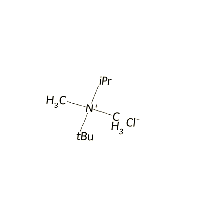 CC(C)[N+](C)(C)C(C)(C)C.[Cl-]